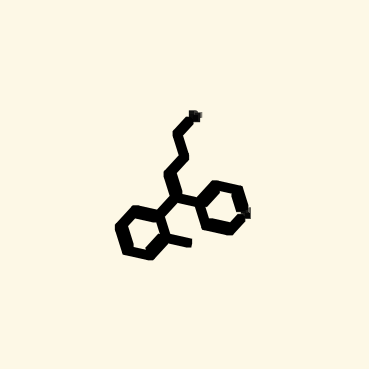 Cc1ccccc1/C(=C/CCBr)c1ccncc1